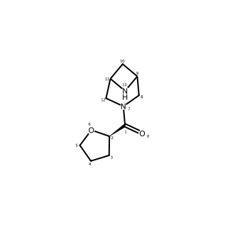 O=C([C@H]1CCCO1)N1CC2CC(C1)N2